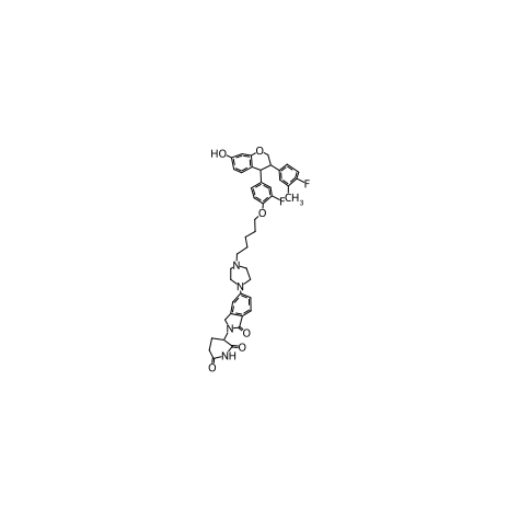 Cc1cc(C2COc3cc(O)ccc3C2c2ccc(OCCCCCN3CCN(c4ccc5c(c4)CN(C4CCC(=O)NC4=O)C5=O)CC3)c(F)c2)ccc1F